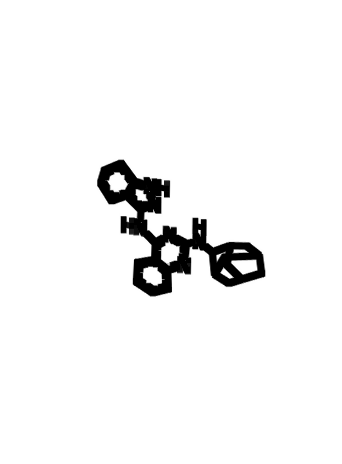 c1ccc2c(Nc3n[nH]c4ccccc34)nc(NC3C4CC5CC(C4)CC3C5)nc2c1